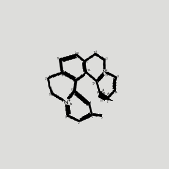 Cc1cc[n+]2c(c1)-c1c(ccc3c1-c1c4ccccc4cc[n+]1CC3)CC2